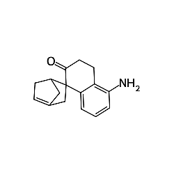 Nc1cccc2c1CCC(=O)C21CC2=CCC1C2